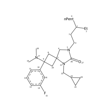 CCCCCC(CC)CCN1CC2(CC(c3cccc(F)c3)(N(C)C)C2)N(CC2CC2)C1=O